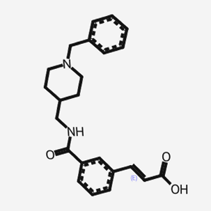 O=C(O)/C=C/c1cccc(C(=O)NCC2CCN(Cc3ccccc3)CC2)c1